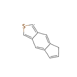 [c]1scc2cc3c(cc12)CC=C3